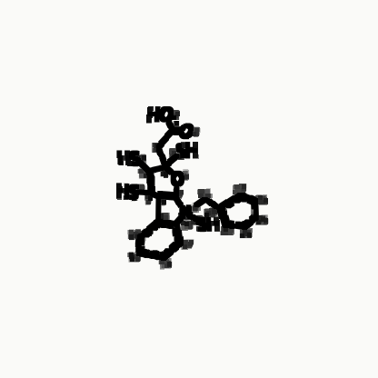 O=C(O)CC1(S)OC2=C(C(S)=C1S)c1ccccc1[N+]2(S)Cc1ccccc1